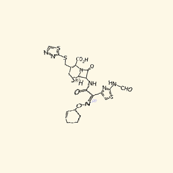 O=CNc1nc(/C(=N/OC2C=CCCC2)C(=O)NC2C(=O)N3C(C(=O)O)=C(CSc4nncs4)CS[C@H]23)cs1